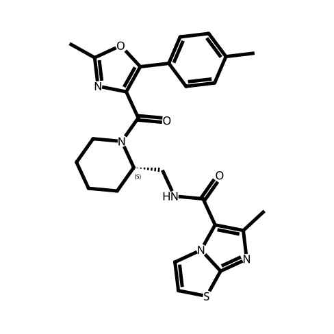 Cc1ccc(-c2oc(C)nc2C(=O)N2CCCC[C@H]2CNC(=O)c2c(C)nc3sccn23)cc1